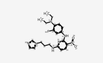 CCN(CC)c1ccc(Nc2nc(NCCCn3ccnc3)ccc2[N+](=O)[O-])cc1F